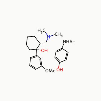 CC(=O)Nc1ccc(O)cc1.COc1cccc([C@@]2(O)CCCC[C@@H]2CN(C)C)c1